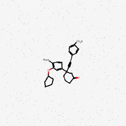 COc1ccc(C2(C#Cc3ccc(C(=O)O)cc3)CCCC(=O)C2)cc1OC1CCCC1